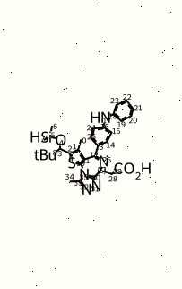 Cc1c(C(O[SiH](C)C)C(C)(C)C)sc2c1C(c1ccc(Nc3ccccc3)cc1)=N[C@@H](CC(=O)O)c1nnc(C)n1-2